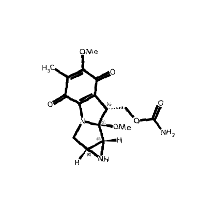 COC1=C(C)C(=O)C2=C(C1=O)[C@H](COC(N)=O)[C@]1(OC)[C@@H]3N[C@@H]3CN21